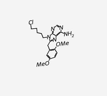 COc1ccc(OC)c(Cc2nc3c(N)ncnc3n2CCCCCCl)c1